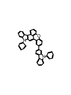 c1ccc(-n2c3ccccc3c3ccc(-c4ccc5c(c4)-c4cc6c(c7cccc(c47)O5)c4ccccc4n6-c4ccccc4)cc32)cc1